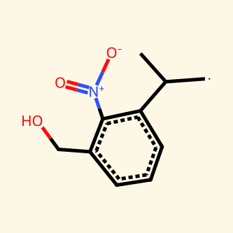 [CH2]C(C)c1cccc(CO)c1[N+](=O)[O-]